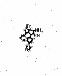 CC(C)n1nc(-c2ccncn2)c2c1OC(N)=C(C#N)C2c1ccc(-n2ccnc2)cc1